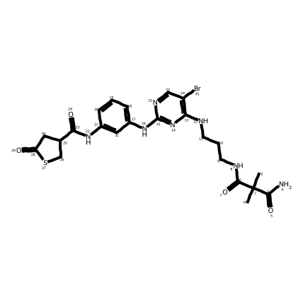 CC(C)(C(N)=O)C(=O)NCCCNc1nc(Nc2cccc(NC(=O)C3CSC(=O)C3)c2)ncc1Br